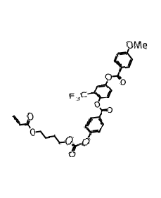 C=CC(=O)OCCCCOC(=O)Oc1ccc(C(=O)Oc2ccc(OC(=O)c3ccc(OC)cc3)cc2C(F)(F)F)cc1